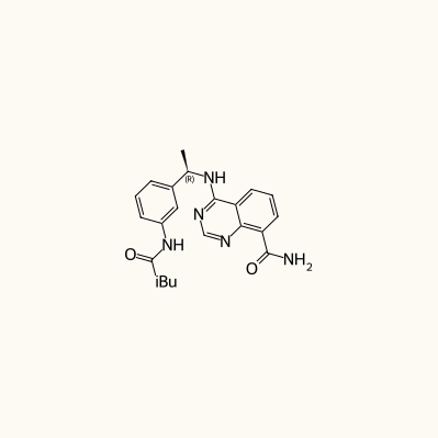 CCC(C)C(=O)Nc1cccc([C@@H](C)Nc2ncnc3c(C(N)=O)cccc23)c1